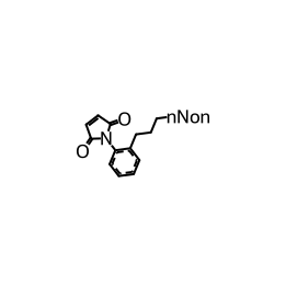 CCCCCCCCCCCCc1ccccc1N1C(=O)C=CC1=O